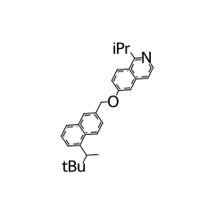 CC(C)c1nccc2cc(OCc3ccc4c(C(C)C(C)(C)C)cccc4c3)ccc12